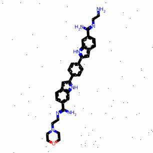 NCC/N=C(\N)c1ccc2cc(-c3ccc(-c4cc5ccc(/C(N)=N/CCN6CCOCC6)cc5[nH]4)cc3)[nH]c2c1